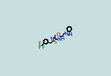 Cc1nc(Cc2cccc(C(F)(F)F)c2)sc1NC(=O)CCn1cnc2ccccc21